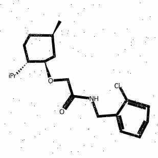 CC(C)[C@@H]1CC[C@@H](C)C[C@H]1OCC(=O)NCc1ccccc1Cl